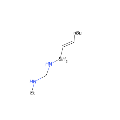 CCCCC=C[SiH2]NCNCC